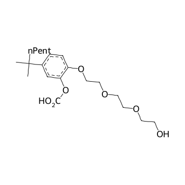 CCCCCC(C)(C)c1ccc(OCCOCCOCCO)c(OC(=O)O)c1